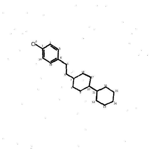 Clc1ccc(CCC2CCC(C3CC[CH]CC3)CC2)cc1